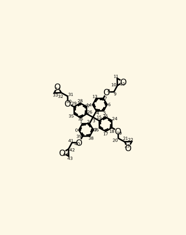 c1cc(C(c2ccc(OCC3CO3)cc2)(c2ccc(OCC3CO3)cc2)c2ccc(OCC3CO3)cc2)ccc1OCC1CO1